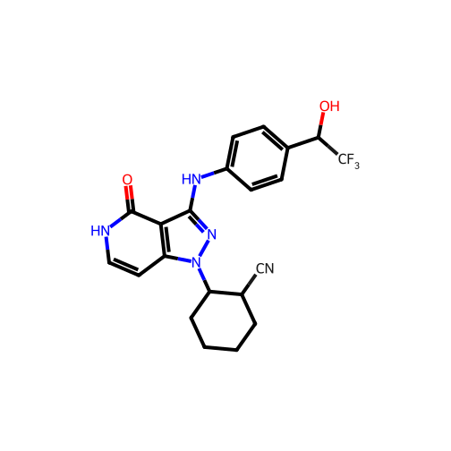 N#CC1CCCCC1n1nc(Nc2ccc(C(O)C(F)(F)F)cc2)c2c(=O)[nH]ccc21